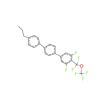 CCCc1ccc(-c2ccc(-c3cc(F)c(C(F)(F)OC(F)(F)F)c(F)c3)cc2)cc1